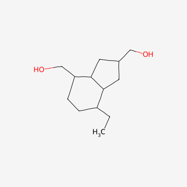 CCC1CCC(CO)C2CC(CO)CC12